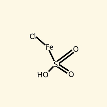 O=[S](=O)(O)[Fe][Cl]